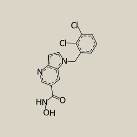 O=C(NO)c1cnc2ccn(Cc3cccc(Cl)c3Cl)c2c1